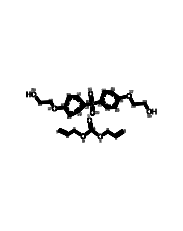 C=CCOC(=O)OCC=C.O=S(=O)(c1ccc(OCCO)cc1)c1ccc(OCCO)cc1